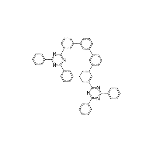 C1=C(c2cccc(-c3cccc(-c4cccc(-c5nc(-c6ccccc6)nc(-c6ccccc6)n5)c4)c3)c2)C=C(c2nc(-c3ccccc3)nc(-c3ccccc3)n2)CC1